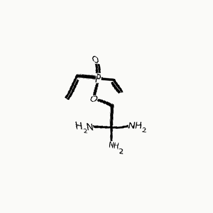 C=CP(=O)(C=C)OCC(N)(N)N